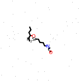 CCCC(CC)O[SiH2]CCCCN=C=O